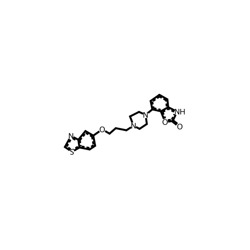 O=c1[nH]c2cccc(N3CCN(CCCOc4ccc5scnc5c4)CC3)c2o1